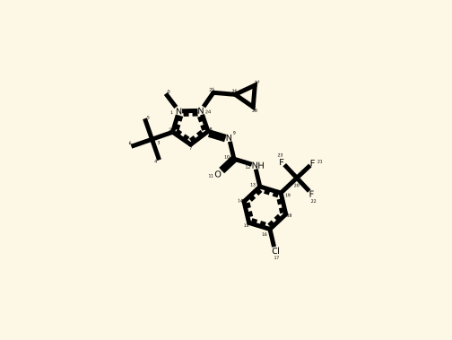 Cn1c(C(C)(C)C)cc(=NC(=O)Nc2ccc(Cl)cc2C(F)(F)F)n1CC1CC1